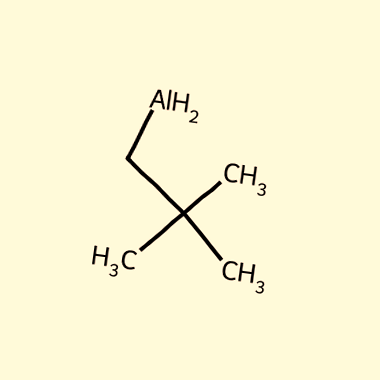 CC(C)(C)[CH2][AlH2]